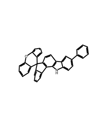 c1ccc(-c2ccc3[nH]c4c5c(ccc4c3c2)C2(c3ccccc3Oc3ccccc32)c2ccccc2-5)cc1